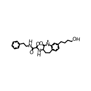 CN1C(=O)C(NC(=O)C(=O)NCCc2ccccc2)CCc2ccc(CCCCO)cc21